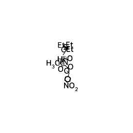 CC[Si](CC)(CC)OCC[C@@H]1C(=O)N2C(C(=O)OCc3ccc([N+](=O)[O-])cc3)C(=O)[C@H](C)[C@@H]12